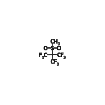 CS(=O)(=O)C(C(F)(F)F)(C(F)(F)F)C(F)(F)F